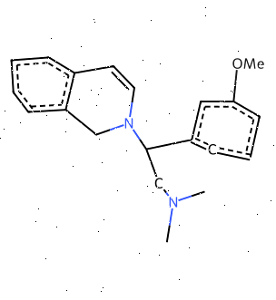 COc1cccc(C(CN(C)C)N2C=Cc3ccccc3C2)c1